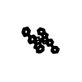 [Cl][Zr]([Cl])([CH]1C(c2ccc(-c3ccccc3)cc2)=Cc2ccccc21)[CH]1C(c2ccc(-c3ccccc3)cc2)=Cc2ccccc21